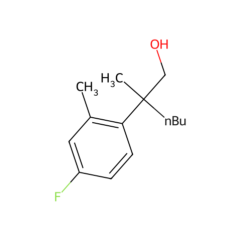 CCCCC(C)(CO)c1ccc(F)cc1C